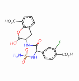 NS(=O)(=O)NC(C(=O)N[C@H]1Cc2cccc(C(=O)O)c2OB1O)c1ccc(C(=O)O)c(F)c1